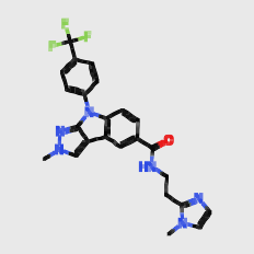 Cn1cc2c3cc(C(=O)NCCc4nccn4C)ccc3n(-c3ccc(C(F)(F)F)cc3)c2n1